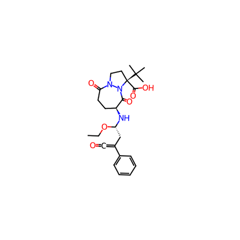 CCO[C@@H](CC(=C=O)c1ccccc1)N[C@H]1CCC(=O)N2CC[C@@](C(=O)O)(C(C)(C)C)N2C1=O